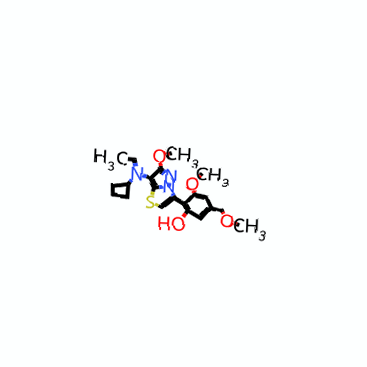 CCN(c1c(OC)nn2c(-c3c(O)cc(COC)cc3OC)csc12)C1CCC1